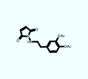 CC(=O)Oc1ccc(CCNN2C(=O)C=CC2=O)cc1OC(C)=O